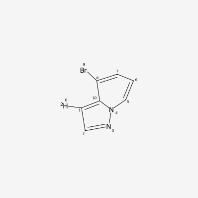 [2H]c1cnn2cccc(Br)c12